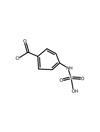 O=C(Cl)c1ccc(NS(=O)(=O)O)cc1